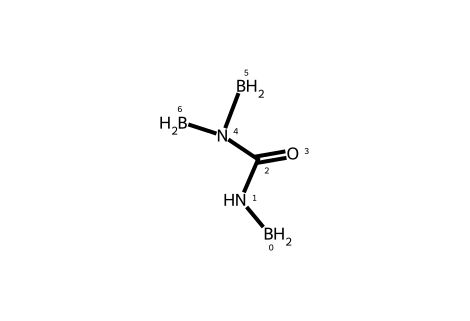 BNC(=O)N(B)B